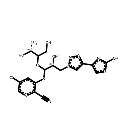 C[C@@H](O)C(CO)OC(Sc1cc(Cl)cnc1C#N)[C@@H](O)Cn1cc(-c2csc(O)n2)nn1